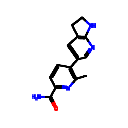 Cc1nc(C(N)=O)ccc1-c1cnc2c(c1)CCN2